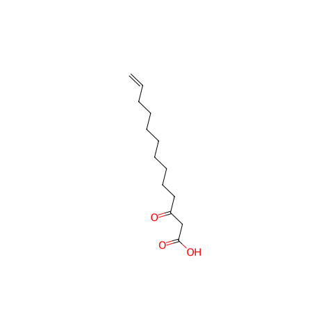 C=CCCCCCCCCC(=O)CC(=O)O